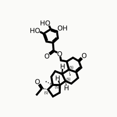 CC(=O)[C@H]1CC[C@H]2[C@@H]3CCC4=CC(=O)CC(COC(=O)c5cc(O)c(O)c(O)c5)[C@]4(C)[C@H]3CC[C@]12C